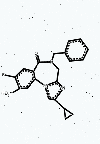 O=C(O)c1cc2c(cc1F)C(=O)N(Cc1ccccc1)Cc1nc(C3CC3)cn1-2